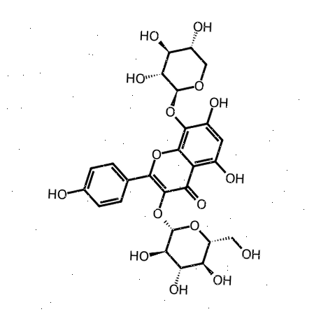 O=c1c(O[C@@H]2O[C@H](CO)[C@@H](O)[C@H](O)[C@H]2O)c(-c2ccc(O)cc2)oc2c(O[C@@H]3OC[C@@H](O)[C@H](O)[C@H]3O)c(O)cc(O)c12